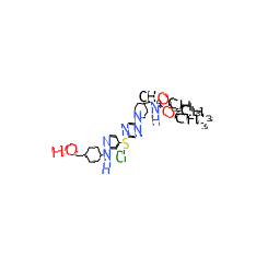 CC1(CNC(=O)OC(C)(C)C)CCN(c2cnc(Sc3ccnc(NC4CCC(CO)CC4)c3Cl)cn2)CC1